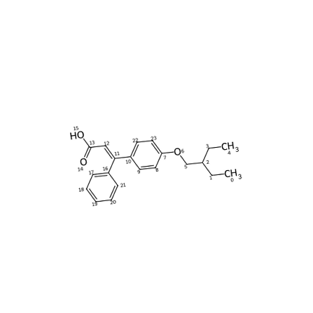 CCC(CC)COc1ccc(C(=CC(=O)O)c2ccccc2)cc1